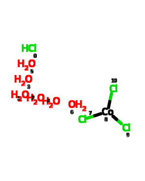 Cl.O.O.O.O.O.O.[Cl][Co]([Cl])[Cl]